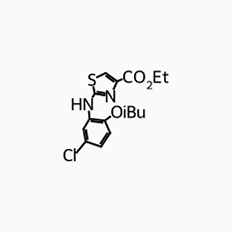 CCOC(=O)c1csc(Nc2cc(Cl)ccc2OCC(C)C)n1